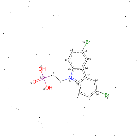 O=P(O)(O)CCn1c2ccc(Br)cc2c2cc(Br)ccc21